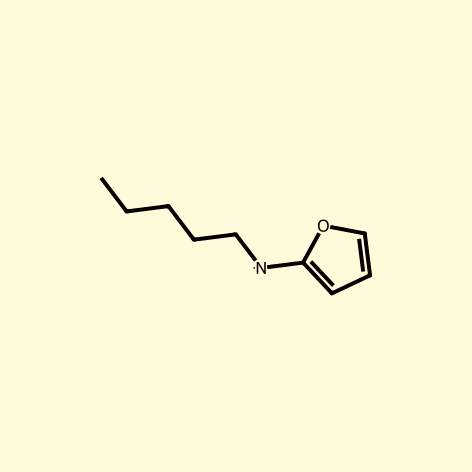 CCCCC[N]c1ccco1